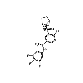 O=S(=O)(c1cc(C(Nc2cc(F)c(F)c(F)c2)C(F)(F)F)ccc1Cl)N1C2CCC1[C@H](O)C2